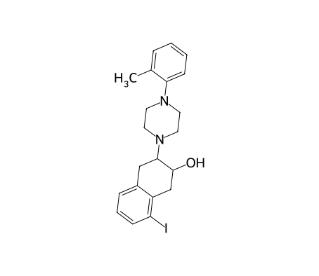 Cc1ccccc1N1CCN(C2Cc3cccc(I)c3CC2O)CC1